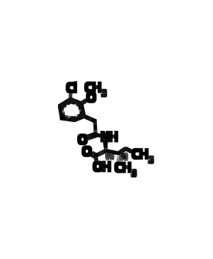 CC[C@H](C)[C@H](NC(=O)Cc1cccc(Cl)c1OC)C(=O)O